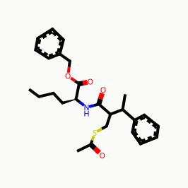 CCCC[C@H](NC(=O)C(CSC(C)=O)C(C)c1ccccc1)C(=O)OCc1ccccc1